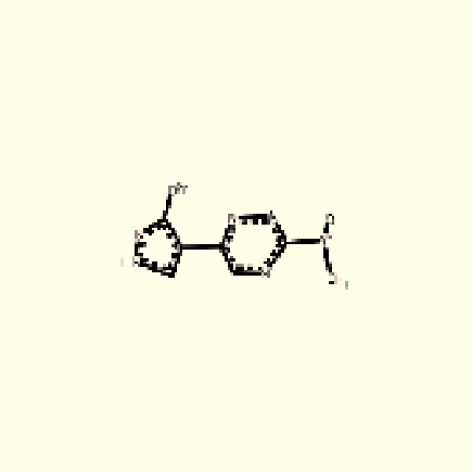 CCCc1n[nH]cc1-c1cnc([S+](C)[O-])nn1